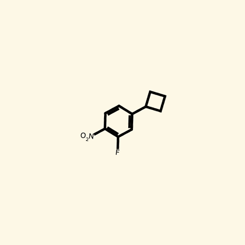 O=[N+]([O-])c1ccc(C2CCC2)cc1F